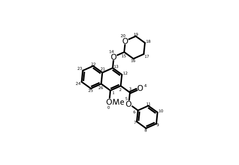 COc1c(C(=O)Oc2ccccc2)cc(OC2CCCCO2)c2ccccc12